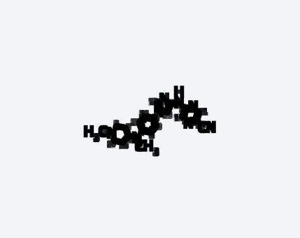 CN1CCC(N(C)c2ccc(-n3cnc(Nc4cnc(C#N)cn4)c3)cc2)CC1